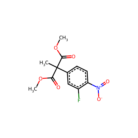 COC(=O)C(C)(C(=O)OC)c1ccc([N+](=O)[O-])c(F)c1